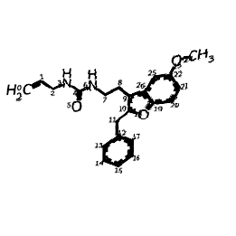 C=CCNC(=O)NCCc1c(Cc2ccccc2)oc2ccc(OC)cc12